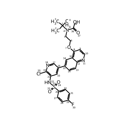 CC(C)(C)N(CCOc1ccnc2ccc(-c3cnc(Cl)c(NS(=O)(=O)c4ccc(F)cc4)c3)cc12)C(=O)O